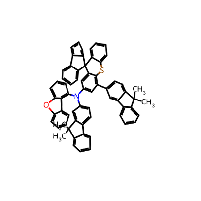 CC1(C)c2ccccc2-c2cc(-c3cc(N(c4ccc5c(c4)C(C)(C)c4ccccc4-5)c4cccc5oc6ccccc6c45)cc4c3Sc3ccccc3C43c4ccccc4-c4ccccc43)ccc21